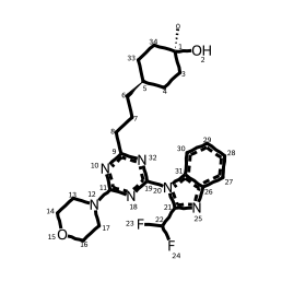 C[C@]1(O)CC[C@@H](CCCc2nc(N3CCOCC3)nc(-n3c(C(F)F)nc4ccccc43)n2)CC1